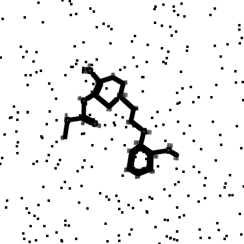 COC(=O)OC1=C(O)CCN(CCOc2ccccc2OC)C1